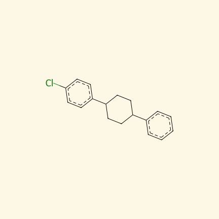 Clc1ccc(C2CCC(c3ccccc3)CC2)cc1